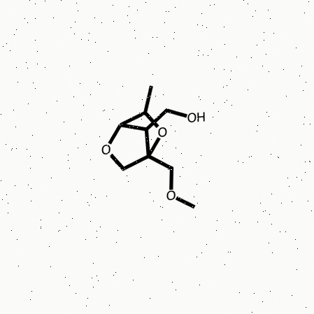 COCC12COC(C(C)O1)C2CO